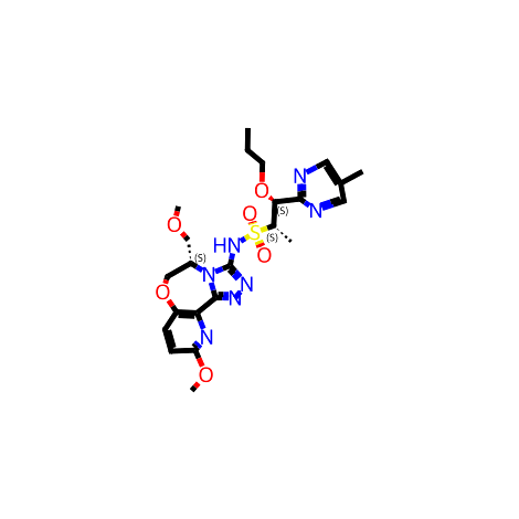 CCCO[C@@H](c1ncc(C)cn1)[C@H](C)S(=O)(=O)Nc1nnc2n1[C@@H](COC)COc1ccc(OC)nc1-2